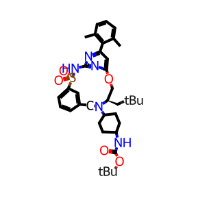 Cc1cccc(C)c1-c1cc2nc(n1)NS(=O)(=O)c1cccc(c1)CN(C1CCC(NC(=O)OC(C)(C)C)CC1)[C@H](CC(C)(C)C)CO2